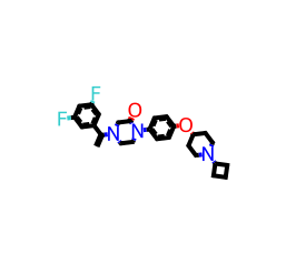 C=C(c1cc(F)cc(F)c1)N1CCN(c2ccc(OC3CCN(C4CCC4)CC3)cc2)C(=O)C1